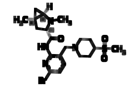 CN1[C@H](C(=O)Nc2nc(Br)ccc2CN2CCC(S(C)(=O)=O)CC2)C[C@@]2(C)C[C@@H]12